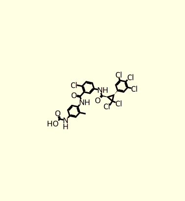 Cc1cc(NC(=O)O)ccc1NC(=O)c1cc(NC(=O)[C@H]2[C@H](c3cc(Cl)c(Cl)c(Cl)c3)C2(Cl)Cl)ccc1Cl